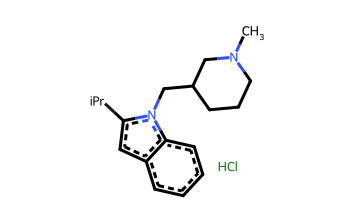 CC(C)c1cc2ccccc2n1CC1CCCN(C)C1.Cl